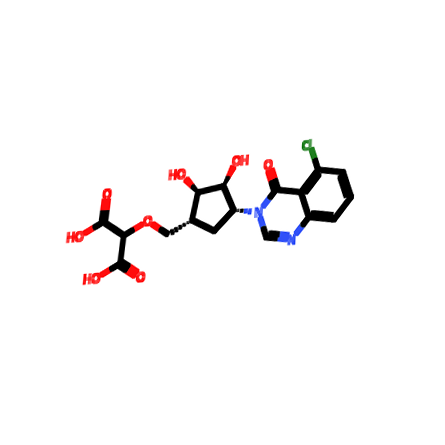 O=C(O)C(OC[C@H]1C[C@@H](n2cnc3cccc(Cl)c3c2=O)[C@H](O)[C@@H]1O)C(=O)O